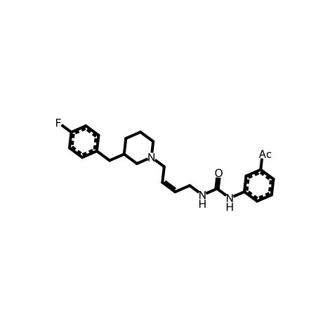 CC(=O)c1cccc(NC(=O)NC/C=C\CN2CCCC(Cc3ccc(F)cc3)C2)c1